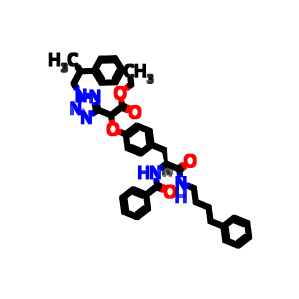 CCOC(=O)C(Oc1ccc(C[C@H](NC(=O)c2ccccc2)C(=O)NCCCCc2ccccc2)cc1)c1nnn(CC(C)c2ccccc2)n1